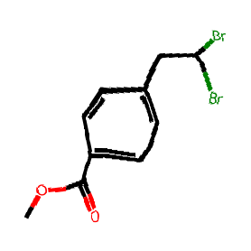 COC(=O)c1ccc(CC(Br)Br)cc1